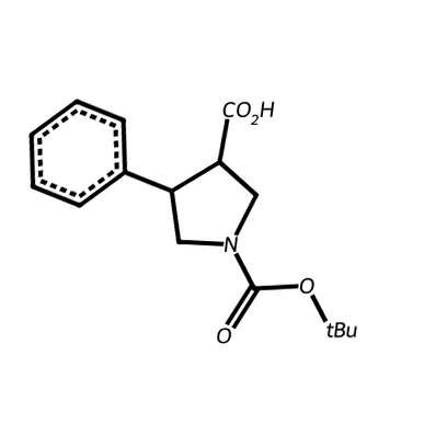 CC(C)(C)OC(=O)N1CC(C(=O)O)C(c2ccccc2)C1